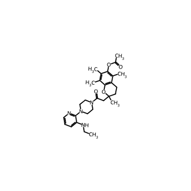 CCNc1cccnc1N1CCN(C(=O)CC2(C)CCc3c(C)c(OC(C)=O)c(C)c(C)c3O2)CC1